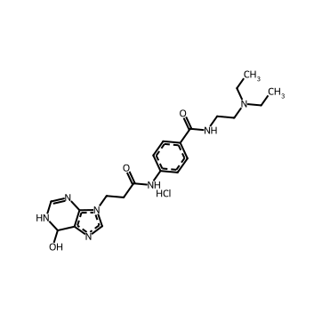 CCN(CC)CCNC(=O)c1ccc(NC(=O)CCn2cnc3c2N=CNC3O)cc1.Cl